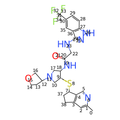 Cc1cc2c(cn1)C(S[C@H]1CN(C3CCOC3)CC1NC(=O)CNc1n[nH]c3ccc(C(F)(F)F)cc13)CC2